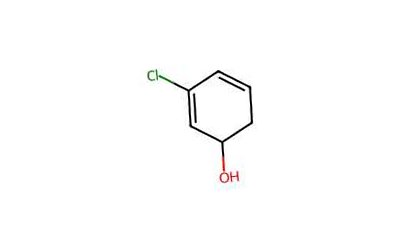 OC1C=C(Cl)C=CC1